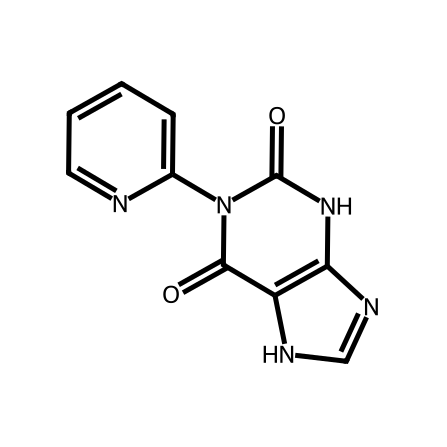 O=c1[nH]c2nc[nH]c2c(=O)n1-c1ccccn1